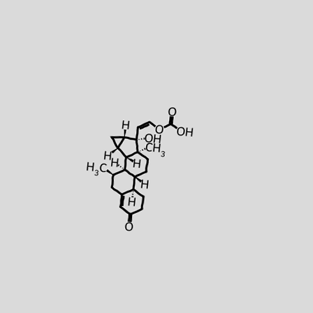 C[C@@H]1CC2=CC(=O)CC[C@@H]2[C@H]2CC[C@@]3(C)[C@@H]([C@@H]4C[C@@H]4[C@@]3(O)/C=C\OC(=O)O)[C@@H]21